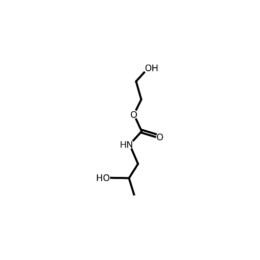 CC(O)CNC(=O)OCCO